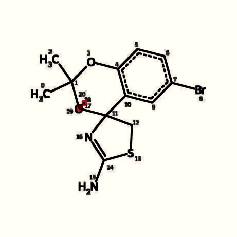 CC1(C)Oc2ccc(Br)cc2C2(CSC(N)=N2)C12COC2